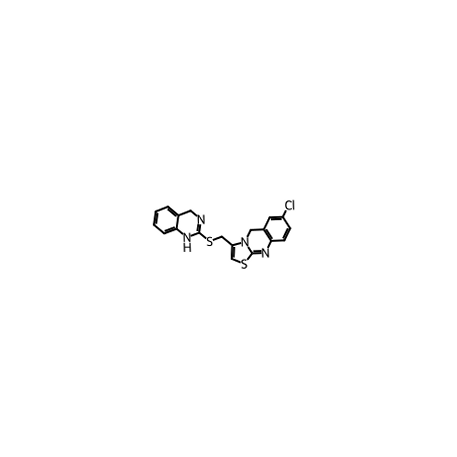 Clc1ccc2c(c1)CN1C(CSC3=NCc4ccccc4N3)=CSC1=N2